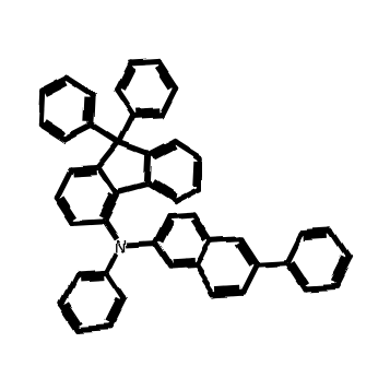 c1ccc(-c2ccc3cc(N(c4ccccc4)c4cccc5c4-c4ccccc4C5(c4ccccc4)c4ccccc4)ccc3c2)cc1